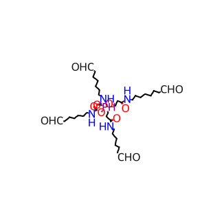 O=CCCCCCCCNC(=O)CCO[PH](CCC(=O)NCCCCCCC=O)(OC(=O)NCCCCCCC=O)C(=O)NCCCCCCC=O